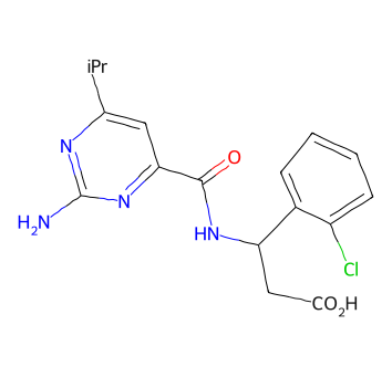 CC(C)c1cc(C(=O)NC(CC(=O)O)c2ccccc2Cl)nc(N)n1